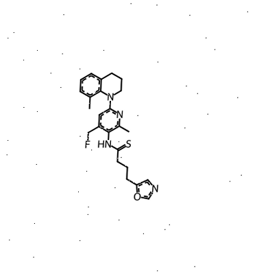 Cc1cccc2c1N(c1cc(CF)c(NC(=S)CCCc3cnco3)c(C)n1)CCC2